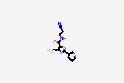 Cc1nc(-c2cccnc2)sc1C(=O)NCCC#N